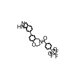 O=C(c1ccc(S(=O)(=O)C(F)(F)F)cc1)N1CCOc2ccc(-c3ccc4cn[nH]c4c3)cc2C1